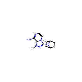 CN1N=C(N2C3CCC2CC3)N2C=CN=C(N)C12